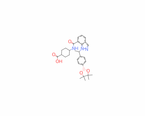 CC(c1ccc(B2OC(C)(C)C(C)(C)O2)cc1)n1ncc2cccc(C(=O)NC3CCC(C(=O)O)CC3)c21